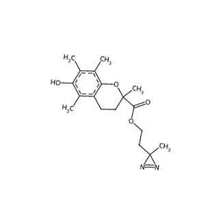 Cc1c(C)c2c(c(C)c1O)CCC(C)(C(=O)OCCC1(C)N=N1)O2